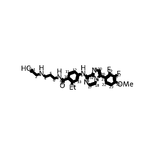 C#CCNCCCNC(=O)c1ccc(Nc2nccn3c(-c4ccc(OC)c(F)c4F)cnc23)cc1CC